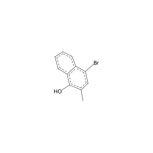 Cc1cc(Br)c2ccccc2c1O